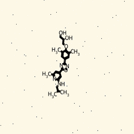 Cc1cc(-c2nc(-c3cc(C)c(OC[C@@H](O)CO)c(C)c3)no2)cc(NCC(C)C)n1